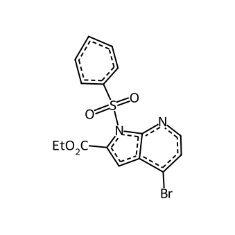 CCOC(=O)c1cc2c(Br)ccnc2n1S(=O)(=O)c1ccccc1